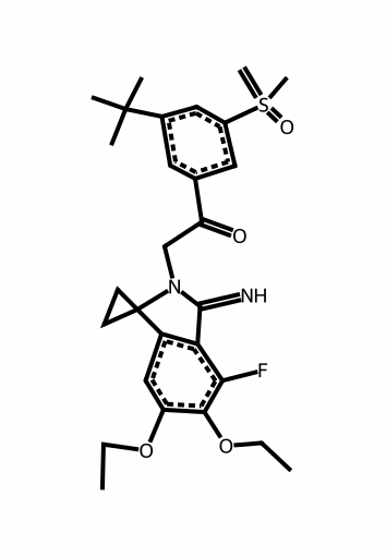 C=S(C)(=O)c1cc(C(=O)CN2C(=N)c3c(cc(OCC)c(OCC)c3F)C23CC3)cc(C(C)(C)C)c1